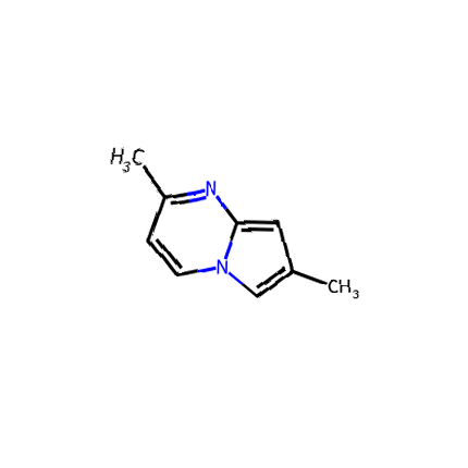 Cc1cc2nc(C)ccn2c1